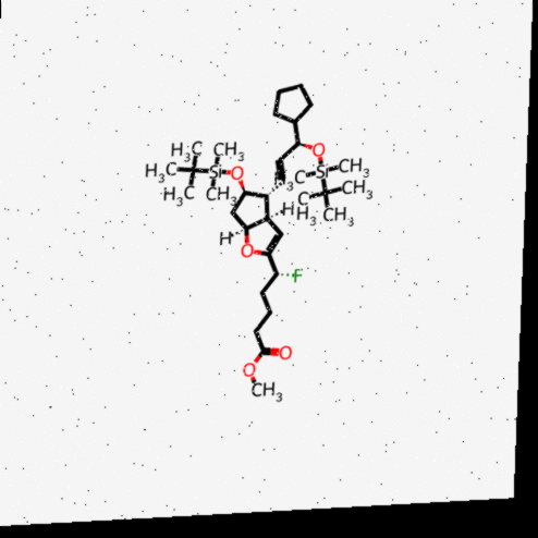 COC(=O)CCC[C@@H](F)C1=C[C@@H]2[C@@H](/C=C/[C@H](O[Si](C)(C)C(C)(C)C)C3CCCC3)[C@H](O[Si](C)(C)C(C)(C)C)C[C@@H]2O1